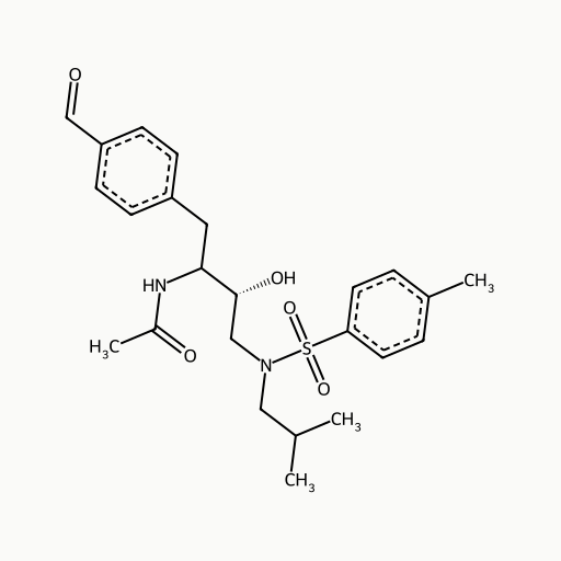 CC(=O)NC(Cc1ccc(C=O)cc1)[C@H](O)CN(CC(C)C)S(=O)(=O)c1ccc(C)cc1